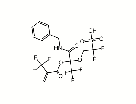 C=C(C(=O)OC(OCC(F)(F)S(=O)(=O)O)(C(=O)NCc1ccccc1)C(F)(F)F)C(F)(F)F